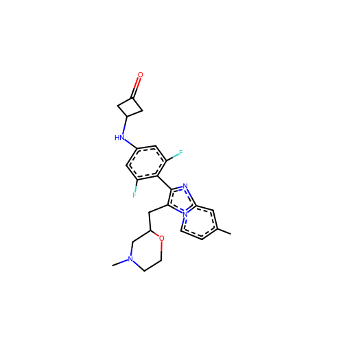 Cc1ccn2c(CC3CN(C)CCO3)c(-c3c(F)cc(NC4CC(=O)C4)cc3F)nc2c1